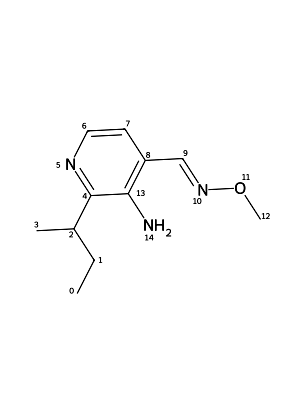 CCC(C)c1nccc(/C=N/OC)c1N